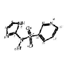 CCN(c1ncc[nH]1)S(=O)(=O)c1cccnc1